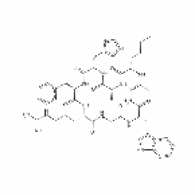 CCCC[C@H](NC(C)=O)C(=O)N[C@@H](C)C(=O)N[C@@H](Cc1c[nH]cn1)C(=O)N[C@H](Cc1ccccc1)C(=O)N[C@@H](CCCNC(=N)N)C(=O)NCC(=O)N[C@@H](Cc1c[nH]c2ccccc12)C(N)=O